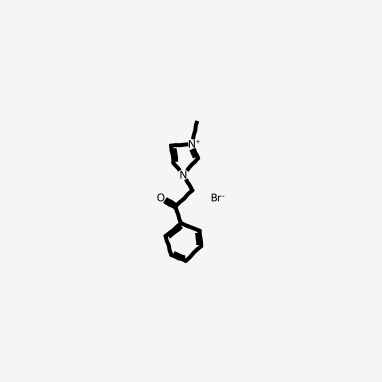 C[n+]1ccn(CC(=O)c2ccccc2)c1.[Br-]